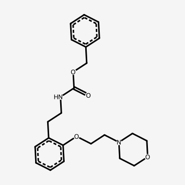 O=C(NCCc1ccccc1OCCN1CCOCC1)OCc1ccccc1